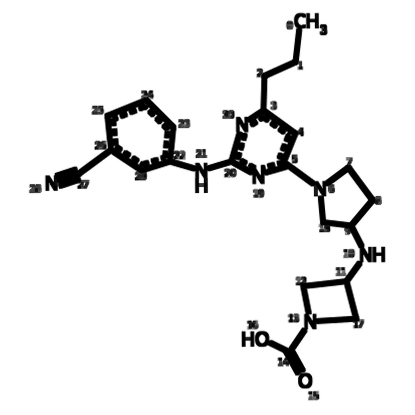 CCCc1cc(N2CCC(NC3CN(C(=O)O)C3)C2)nc(Nc2cccc(C#N)c2)n1